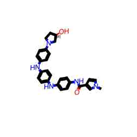 Cn1ccc(C(=O)Nc2ccc(Nc3ccc(Nc4ccc(N5CC[C@@H](O)C5)cc4)cc3)cc2)c1